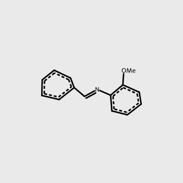 COc1ccccc1N=Cc1ccccc1